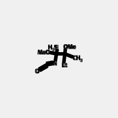 CCC(C)(OC)C([SiH3])(N=C=O)OC